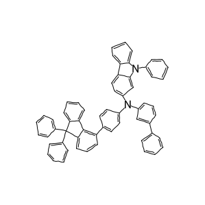 c1ccc(-c2cccc(N(c3ccc(-c4cccc5c4-c4ccccc4C5(c4ccccc4)c4ccccc4)cc3)c3ccc4c5ccccc5n(-c5ccccc5)c4c3)c2)cc1